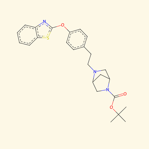 CC(C)(C)OC(=O)N1CC2CC1CN2CCc1ccc(Oc2nc3ccccc3s2)cc1